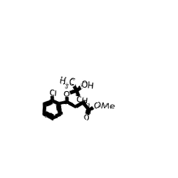 COC(=O)CCC(OC(C)(C)O)c1ccccc1Cl